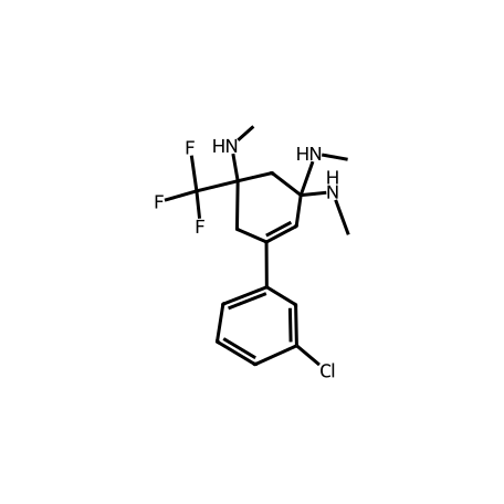 CNC1(NC)C=C(c2cccc(Cl)c2)CC(NC)(C(F)(F)F)C1